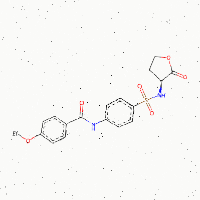 CCOc1ccc(C(=O)Nc2ccc(S(=O)(=O)N[C@H]3CCOC3=O)cc2)cc1